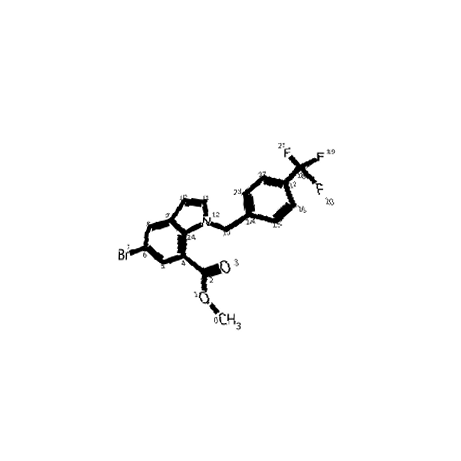 COC(=O)c1cc(Br)cc2ccn(Cc3ccc(C(F)(F)F)cc3)c12